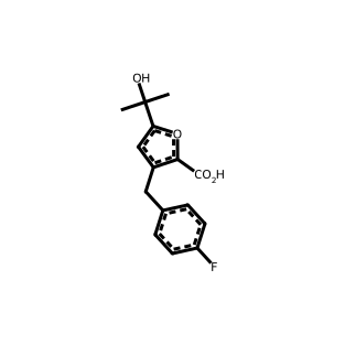 CC(C)(O)c1cc(Cc2ccc(F)cc2)c(C(=O)O)o1